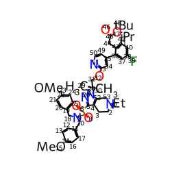 CCN1CCc2c(S(=O)(=O)N(Cc3ccc(OC)cc3)Cc3ccc(OC)cc3)nn(C(C)(C)COc3cc(-c4cc(F)cc(C(C)C)c4CC(=O)OC(C)(C)C)ccn3)c2C1